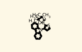 CC1(C)OB(c2sccc2-n2c3ccccc3c3ccccc32)OC1(C)C